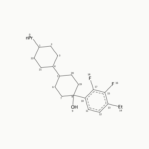 CCCC1CCC(C2CCC(O)(c3ccc(CC)c(F)c3F)CC2)CC1